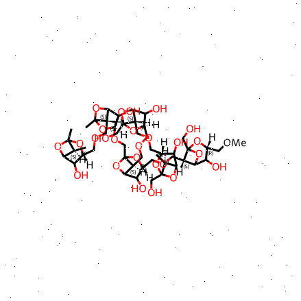 COC[C@H]1OC2(CO)OC(C1O)[C@@H]2COC[C@H]1OC2(CO[C@H]3OC4(C)OC(C3O)[C@@H]4COC[C@H]3OC4(C)OC(C3O)[C@@H]4C)OC(C1O)[C@@H]2COC[C@H]1OC2(CO)OC(C1O)[C@@H]2COC[C@H]1OC2(CO)OC(C1O)[C@@H]2C